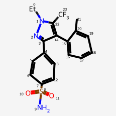 CCn1nc(-c2ccc(S(N)(=O)=O)cc2)c(-c2ccccc2C)c1C(F)(F)F